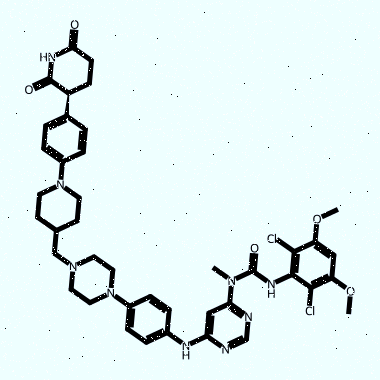 COc1cc(OC)c(Cl)c(NC(=O)N(C)c2cc(Nc3ccc(N4CCN(CC5CCN(c6ccc([C@@H]7CCC(=O)NC7=O)cc6)CC5)CC4)cc3)ncn2)c1Cl